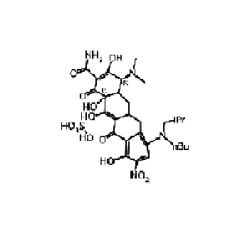 CCCCN(CC(C)C)c1cc([N+](=O)[O-])c(O)c2c1CC1CC3[C@H](N(C)C)C(O)=C(C(N)=O)C(=O)[C@@]3(O)C(O)=C1C2=O.O=S(=O)(O)O